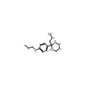 CCCOc1ccc(C2(CCCl)OCCCO2)cc1